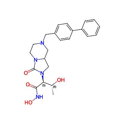 C[C@@H](O)[C@@H](C(=O)NO)N1CC2CN(Cc3ccc(-c4ccccc4)cc3)CCN2C1=O